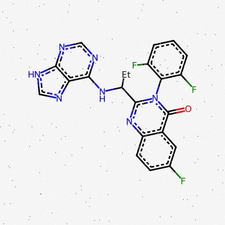 CCC(Nc1ncnc2[nH]cnc12)c1nc2ccc(F)cc2c(=O)n1-c1c(F)cccc1F